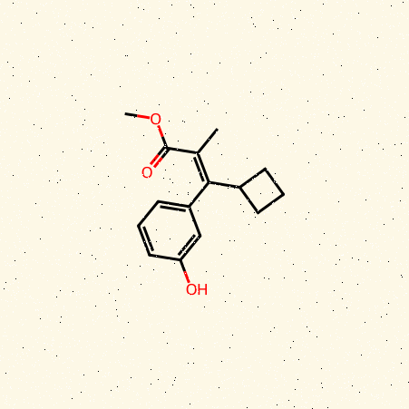 COC(=O)C(C)=C(c1cccc(O)c1)C1CCC1